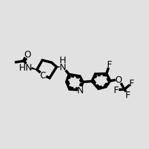 CC(=O)N[C@H]1CC[C@H](Nc2ccnc(-c3ccc(OC(F)(F)F)c(F)c3)c2)CC1